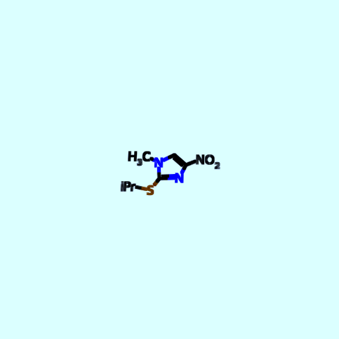 CC(C)Sc1nc([N+](=O)[O-])cn1C